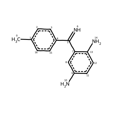 Cc1ccc(C(=N)c2cc(N)ccc2N)cc1